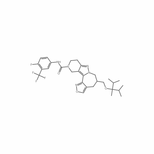 CC(C)C(C)(OCC1Cc2conc2-c2c3c(nn2C1)CCN(C(=O)Nc1ccc(F)c(C(F)(F)F)c1)C3)C(C)C